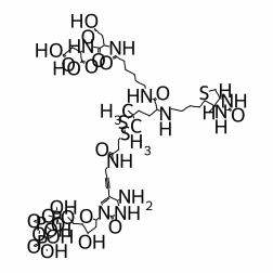 CC(C)(CCC(NCCCCC1SC[C@@H]2NC(=O)N[C@H]12)C(=O)NCCCCCC(=O)NC(CC(=O)O)C(=O)NC(CC(=O)O)C(=O)O)SSCCC(=O)NCC#CC1=CN(C2CC(O)C(COP(=O)(O)OP(=O)(O)OP(=O)(O)O)O2)C(=O)NC1N